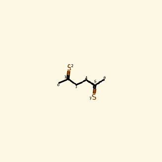 CC(=S)CCC(C)=S